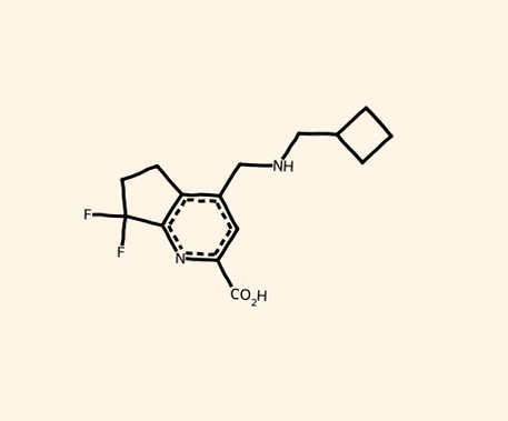 O=C(O)c1cc(CNCC2CCC2)c2c(n1)C(F)(F)CC2